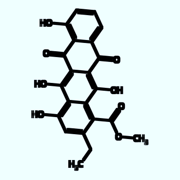 CCc1cc(O)c2c(O)c3c(c(O)c2c1C(=O)OC)C(=O)c1cccc(O)c1C3=O